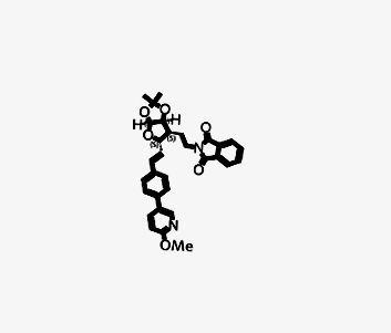 COc1ccc(-c2ccc(C=C[C@@H]3O[C@H]4OC(C)(C)O[C@H]4[C@H]3CCN3C(=O)c4ccccc4C3=O)cc2)cn1